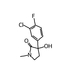 CN1CCC(O)(c2ccc(F)c(Cl)c2)C1=O